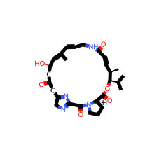 CC1=C\[C@@H](O)CC(=O)CC2=NC(=NC2)C(=O)N2CCC[C@@H]2C(=O)O[C@H](C(C)C)[C@H](C)/C=C/C(=O)NC\C=C\1